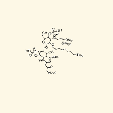 CCCCCCCCCCCCCCCC/C=C\O[C@H]1[C@H](OC[C@H]2O[C@H](OP(=O)(O)O)[C@H](NC(=O)CC(=O)CCCCCCCCCCC)[C@@H](OCCCCCCCCCC)[C@@H]2O)O[C@H](CO)[C@@H](OP(=O)(O)O)[C@@H]1OCC[C@@H](CCCCCCC)OC